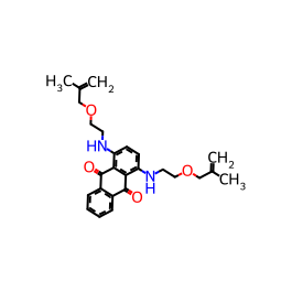 C=C(C)COCCNc1ccc(NCCOCC(=C)C)c2c1C(=O)c1ccccc1C2=O